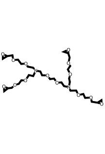 C(COCCN(CCOCCOCC1CO1)CCOCCOCC1CO1)OCCN(CCOCCOCC1CO1)CCOCCOCC1CO1